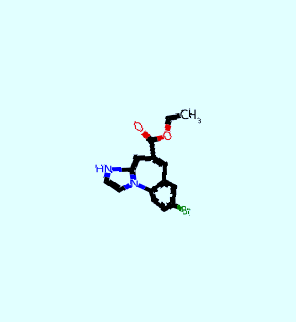 CCOC(=O)C1=Cc2cc(Br)ccc2N2C=CNC2C1